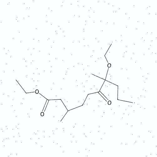 [CH2]CCC(C)(OCC)C(=O)CCC(C)CC(=O)OCC